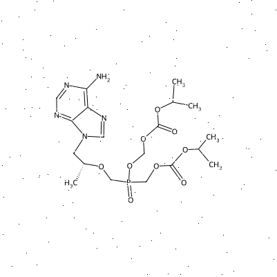 CC(C)OC(=O)OCOP(=O)(COC(=O)OC(C)C)CO[C@H](C)Cn1cnc2c(N)ncnc21